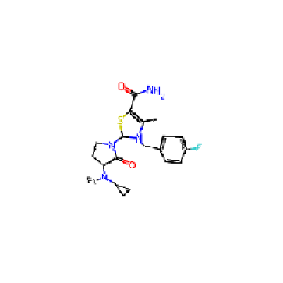 CCN(C1CC1)C1CCN(C2SC(C(N)=O)=C(C)N2Cc2ccc(F)cc2)C1=O